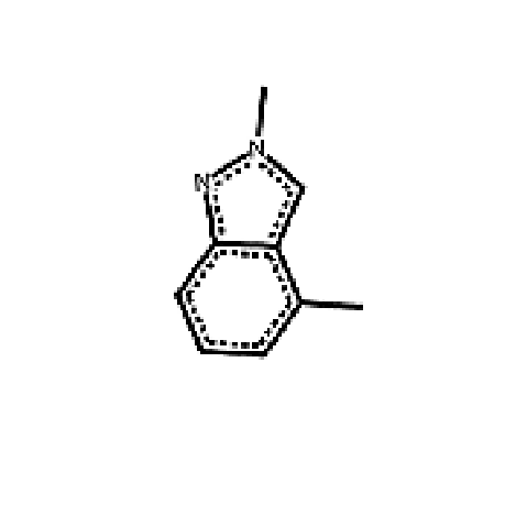 Cc1cccc2nn(C)cc12